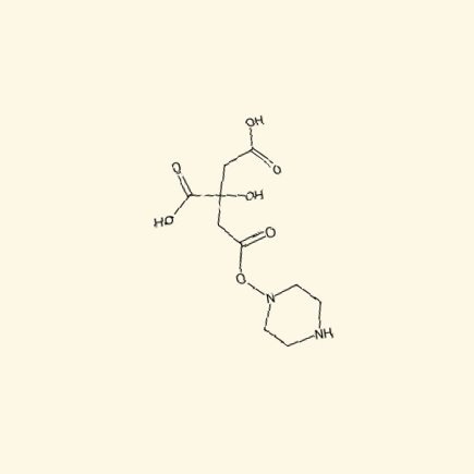 O=C(O)CC(O)(CC(=O)ON1CCNCC1)C(=O)O